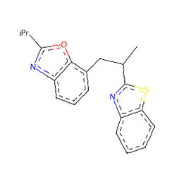 CC(C)c1nc2cccc(CC(C)c3nc4ccccc4s3)c2o1